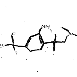 CCC(F)(F)C1=CC(N)=C(C(C)(C)CN(C)C)CC1